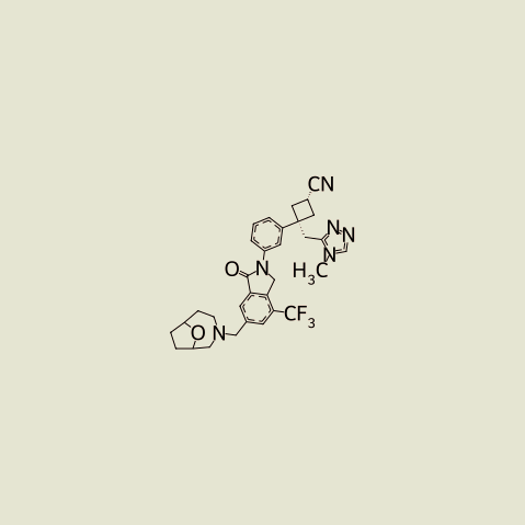 Cn1cnnc1C[C@]1(c2cccc(N3Cc4c(cc(CN5CCC6CCC(C5)O6)cc4C(F)(F)F)C3=O)c2)C[C@H](C#N)C1